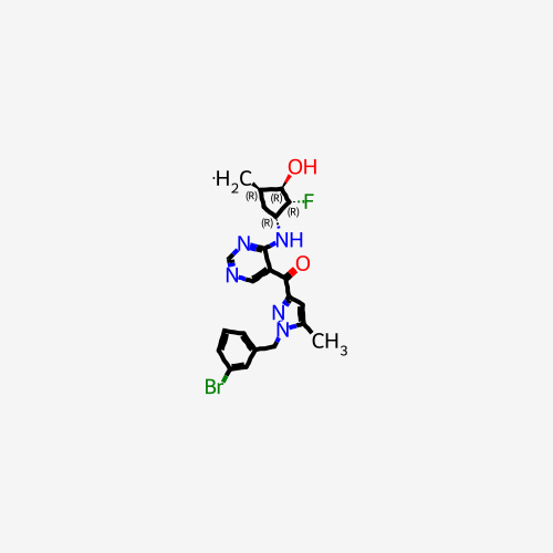 [CH2][C@@H]1C[C@@H](Nc2ncncc2C(=O)c2cc(C)n(Cc3cccc(Br)c3)n2)[C@@H](F)[C@@H]1O